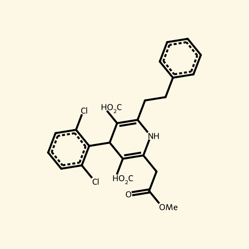 COC(=O)CC1=C(C(=O)O)C(c2c(Cl)cccc2Cl)C(C(=O)O)=C(CCc2ccccc2)N1